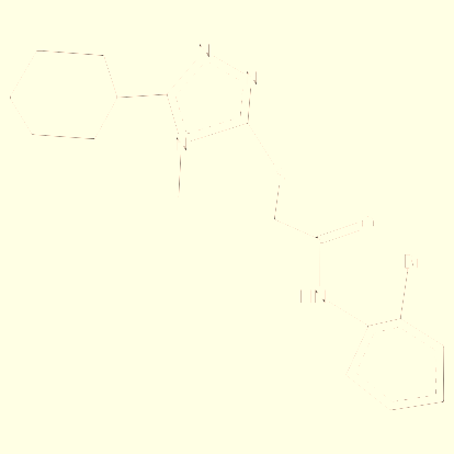 Cn1c(SCC(=O)Nc2ccccc2Br)nnc1C1CCCCC1